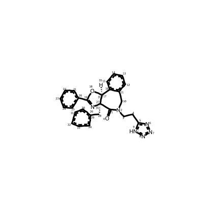 O=C1N(CCc2nnn[nH]2)Cc2ccccc2[C@@H]2OC(c3ccccc3)=N[C@]12Cc1ccccc1